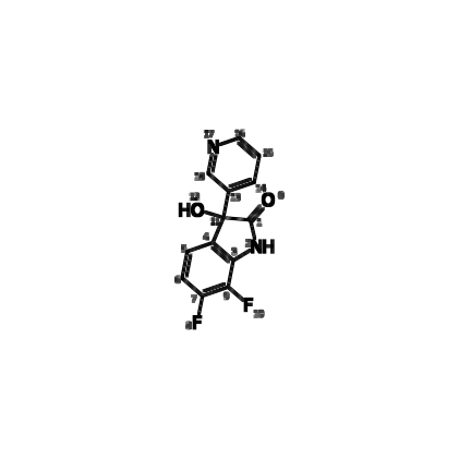 O=C1Nc2c(ccc(F)c2F)C1(O)c1cccnc1